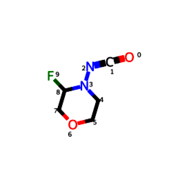 O=C=NN1CCOCC1F